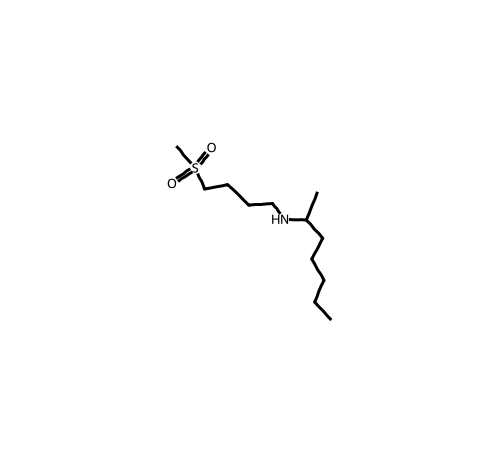 CCCCCC(C)NCCCCS(C)(=O)=O